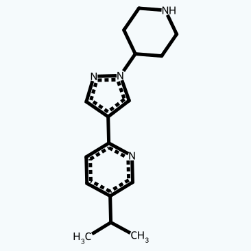 CC(C)c1ccc(-c2cnn(C3CCNCC3)c2)nc1